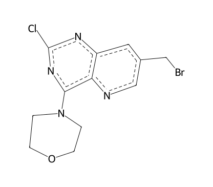 Clc1nc(N2CCOCC2)c2ncc(CBr)cc2n1